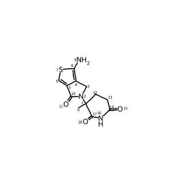 CC1(N2Cc3c(csc3N)C2=O)CCC(=O)NC1=O